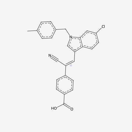 Cc1ccc(Cn2cc(/C=C(\C#N)c3ccc(C(=O)O)cc3)c3ccc(Cl)cc32)cc1